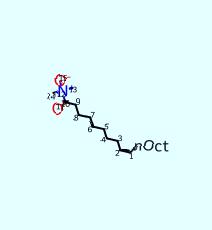 CCCCCCCC/C=C\CCCCCCCC(=O)[N+](C)(C)[O-]